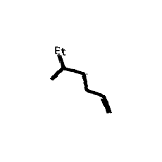 C=CC[CH]C(C)CC